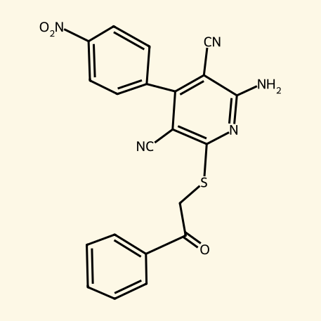 N#Cc1c(N)nc(SCC(=O)c2ccccc2)c(C#N)c1-c1ccc([N+](=O)[O-])cc1